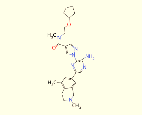 Cc1cc(-c2cnc(N)c(-n3cc(C(=O)N(C)CCOC4CCCC4)cn3)n2)cc2c1CCN(C)C2